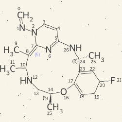 C=NN1C=CC2=N/C1=C(/C)C(C)NC[C@H](C)OC1=CCC(F)C=C1[C@@H](C)N2